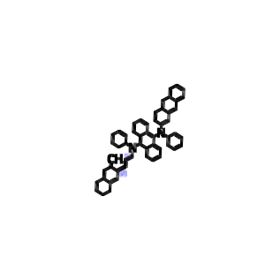 C=c1cc2c(c/c1=C/C=C/N(c1c3ccccc3c(N(c3ccccc3)c3ccc4cc5ccccc5cc4c3)c3ccccc13)C1C=CC=CC1)CCC=C2